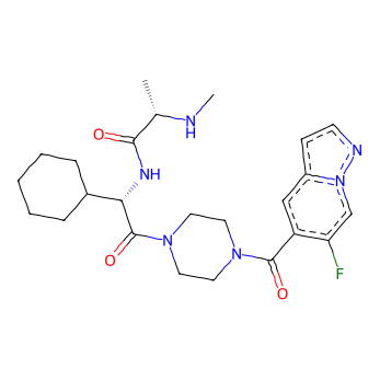 CN[C@@H](C)C(=O)N[C@H](C(=O)N1CCN(C(=O)c2cc3ccnn3cc2F)CC1)C1CCCCC1